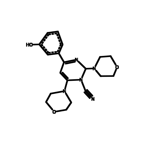 N#CN1C(N2CCOCC2)=CC(c2cccc(O)c2)=NC1N1CCOCC1